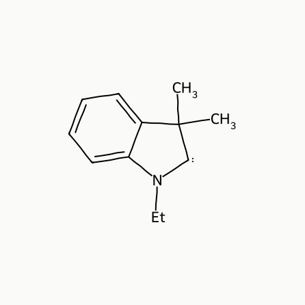 CCN1[C]C(C)(C)c2ccccc21